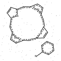 C1=Cc2cc3ccc(cc4nc(cc5ccc(cc1n2)[nH]5)C=C4)[nH]3.[Ni][c]1ccccc1